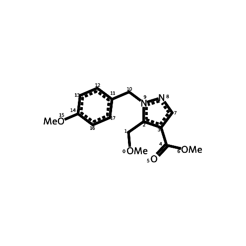 COCc1c(C(=O)OC)cnn1Cc1ccc(OC)cc1